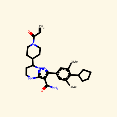 C=CC(=O)N1CCC(C2CCNc3c(C(N)=O)c(-c4cc(OC)c(C5CCCC5)c(OC)c4)nn32)CC1